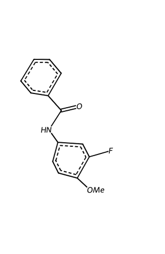 COc1ccc(NC(=O)c2ccccc2)cc1F